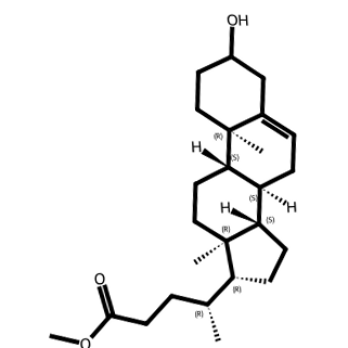 COC(=O)CC[C@@H](C)[C@H]1CC[C@H]2[C@@H]3CC=C4CC(O)CC[C@]4(C)[C@H]3CC[C@]12C